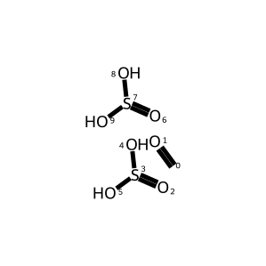 C=O.O=S(O)O.O=S(O)O